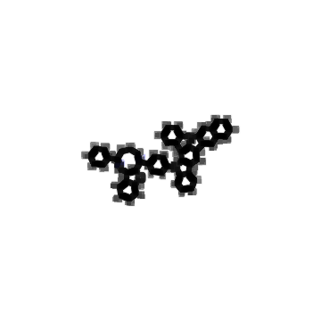 C1=C(/c2ccc(-n3c4ccccc4c4cc5c6cc7ccccc7cc6n6c7ccccc7c(c43)c56)cc2)c2oc3ccccc3c2/N=C(/c2ccccc2)CC/1